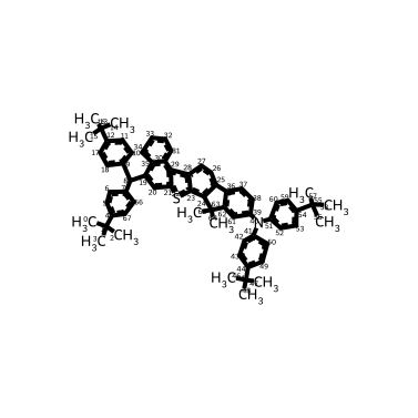 CC(C)(C)c1ccc(C(c2ccc(C(C)(C)C)cc2)c2cc3sc4c5c(ccc4c3c3ccccc23)-c2ccc(N(c3ccc(C(C)(C)C)cc3)c3ccc(C(C)(C)C)cc3)cc2C5(C)C)cc1